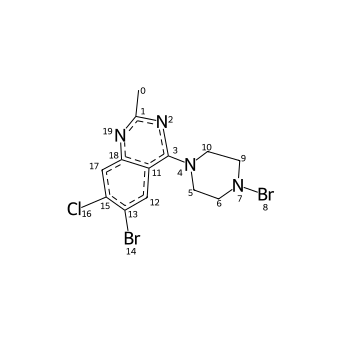 Cc1nc(N2CCN(Br)CC2)c2cc(Br)c(Cl)cc2n1